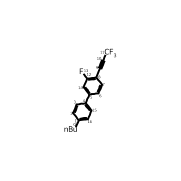 CCCCc1ccc(-c2ccc(C#CC(F)(F)F)c(F)c2)cc1